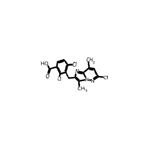 Cc1cc(Cl)nn2c(C)c(Cc3c(Cl)ccc(C(=O)O)c3Cl)nc12